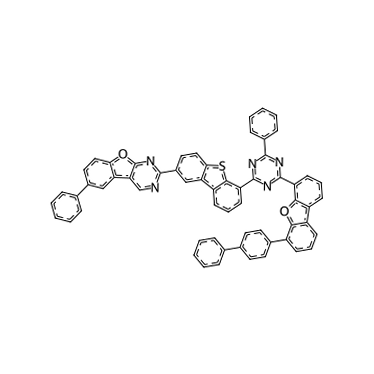 c1ccc(-c2ccc(-c3cccc4c3oc3c(-c5nc(-c6ccccc6)nc(-c6cccc7c6sc6ccc(-c8ncc9c(n8)oc8ccc(-c%10ccccc%10)cc89)cc67)n5)cccc34)cc2)cc1